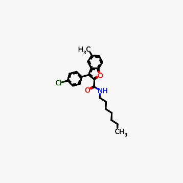 CCCCCCCNC(=O)c1oc2ccc(C)cc2c1-c1ccc(Cl)cc1